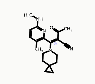 CNc1ccc(C)c(/C(=C(/C#N)C(C)=O)N2CCC3(CC2)CC3)n1